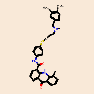 COc1ccc(CN(C)CCCSc2ccc(NC(=O)c3cccc4c(=O)c5cccc(C)c5[nH]c34)cc2)cc1OC